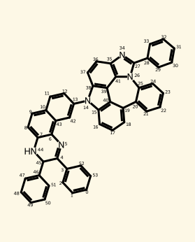 c1ccc(C2=Nc3c(ccc4ccc(-n5c6cccc7c8ccccc8n8c(-c9ccccc9)nc9ccc5c(c76)c98)cc34)NC2c2ccccc2)cc1